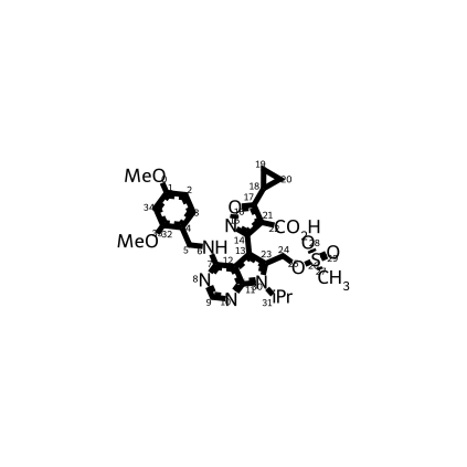 COc1ccc(CNc2ncnc3c2c(-c2noc(C4CC4)c2C(=O)O)c(COS(C)(=O)=O)n3C(C)C)c(OC)c1